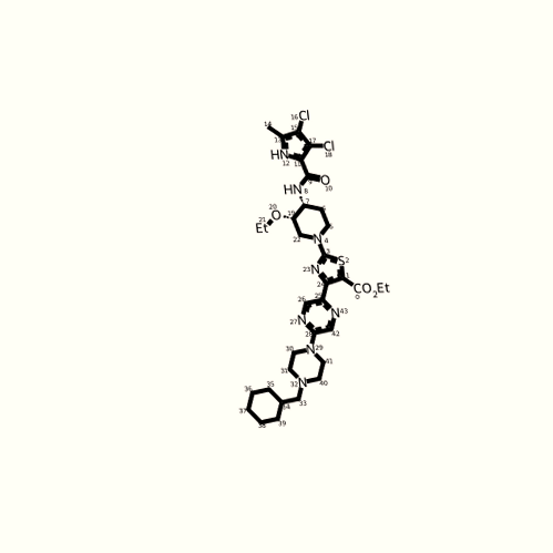 CCOC(=O)c1sc(N2CC[C@@H](NC(=O)c3[nH]c(C)c(Cl)c3Cl)[C@@H](OCC)C2)nc1-c1cnc(N2CCN(CC3CCCCC3)CC2)cn1